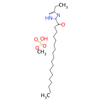 CCCCCCCCCCCCCCCCCC(=O)c1nc(CC)c[nH]1.COS(=O)(=O)O